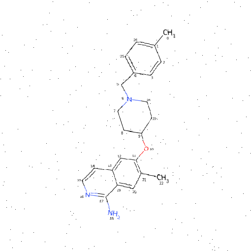 Cc1ccc(CN2CCC(Oc3cc4ccnc(N)c4cc3C)CC2)cc1